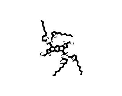 CCCCCCc1ccc(CS/C(Sc2ccc(CCCCCC)s2)=C2\c3cc4c(cc3-c3sc(C=O)cc32)/C(=C(/SCc2ccc(CCCCCC)s2)Sc2ccc(CCCCCC)s2)c2cc(C=O)sc2-4)s1